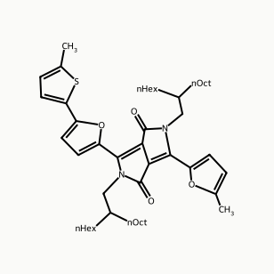 CCCCCCCCC(CCCCCC)CN1C(=O)C2=C(c3ccc(-c4ccc(C)s4)o3)N(CC(CCCCCC)CCCCCCCC)C(=O)C2=C1c1ccc(C)o1